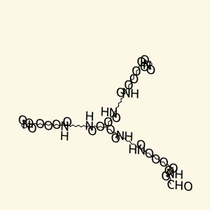 C[C@@](COCCC(=O)NCCCCCCCC(=O)NCCOCCOCCOCCC(=O)ONC(=O)CCC=O)(COCCC(=O)NCCCCCCCC(=O)NCCOCCOCCOCCC(=O)ON1CCCC1=O)COCCC(=O)NCCCCCCCC(=O)NCCOCCOCCOCCC(=O)ON1C(=O)CCC1=O